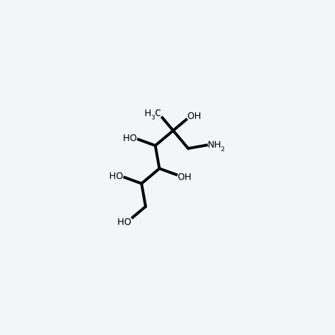 CC(O)(CN)C(O)C(O)C(O)CO